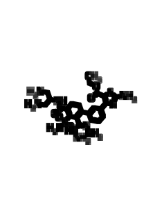 CCOC(=O)c1sc(N)nc1-c1cccc(-c2ccc([S+]([O-])NC(CN)CN)c(S(N)(=O)=O)c2/C(=N/N)NN)c1